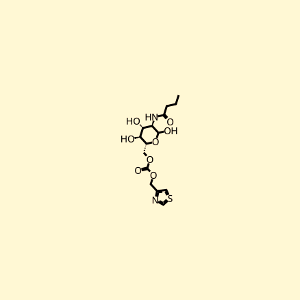 CCCC(=O)N[C@H]1C(O)O[C@H](COC(=O)OCc2cscn2)[C@@H](O)[C@@H]1O